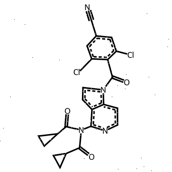 N#Cc1cc(Cl)c(C(=O)n2ccc3c(N(C(=O)C4CC4)C(=O)C4CC4)nccc32)c(Cl)c1